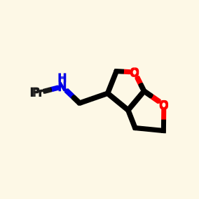 CC(C)NCC1COC2OCCC12